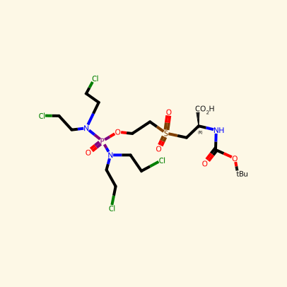 CC(C)(C)OC(=O)N[C@@H](CS(=O)(=O)CCOP(=O)(N(CCCl)CCCl)N(CCCl)CCCl)C(=O)O